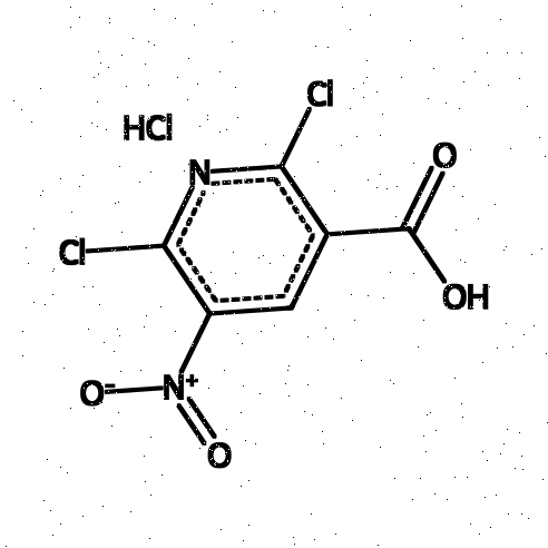 Cl.O=C(O)c1cc([N+](=O)[O-])c(Cl)nc1Cl